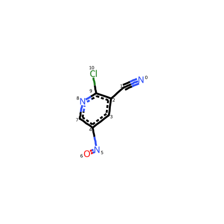 N#Cc1cc(N=O)cnc1Cl